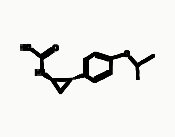 CC(C)Oc1ccc([C@@H]2C[C@H]2NC(=O)O)cc1